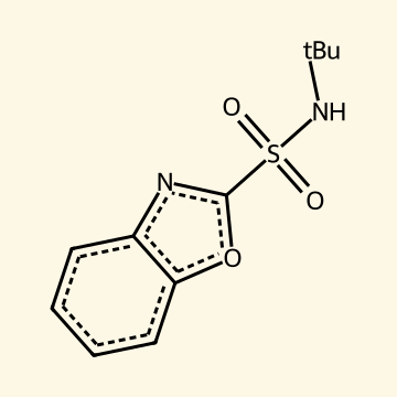 CC(C)(C)NS(=O)(=O)c1nc2ccccc2o1